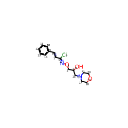 OC(CO/N=C(Cl)/C=C/c1ccccc1)CN1CCOCC1